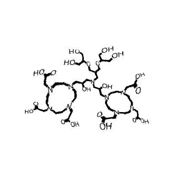 O=C(O)CN1CCN(CC(=O)O)CCN(CC(O)CN(CC(O)CN2CCN(CC(=O)O)CCN(CC(=O)O)CCN(CC(=O)O)CC2)CC(COC(CO)CO)COC(CO)CO)CCN(CC(=O)O)CC1